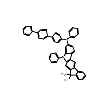 CC1(C)c2ccccc2-c2cc3c4ccc(N(c5ccccc5)c5ccc(-c6ccc(-c7ccccc7)cc6)cc5)cc4n(-c4ccccc4)c3cc21